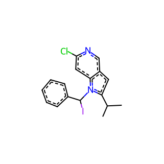 CC(C)c1cc2cnc(Cl)cc2n1C(I)c1ccccc1